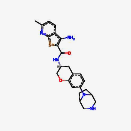 Cc1ccc2c(N)c(C(=O)N[C@H]3COc4cc(N5C6CCC5CNC6)ccc4C3)sc2n1